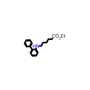 CCOC(=O)CCCCCNc1ccccc1-c1ccccc1